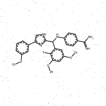 CCOc1cccc(-c2c[nH]c(C(Nc3ccc(C(=N)N)cc3)c3cc(OCC)cc(OC(C)C)c3F)n2)c1